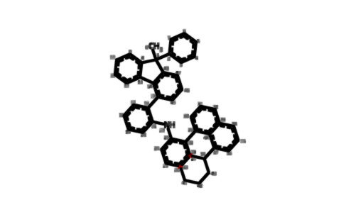 CC1(c2ccccc2)c2ccccc2-c2c(-c3ccccc3Nc3ccccc3-c3cccc4cccc(C5CCCCC5)c34)cccc21